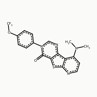 CN(C)c1ccnc2sc3c(=O)n(-c4ccc(OC(F)(F)F)cc4)cnc3c12